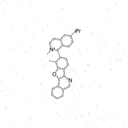 Cc1c(-c2c3ccc(C(C)C)cc3cc[n+]2C)ccc2c1oc1c3ccccc3cnc21